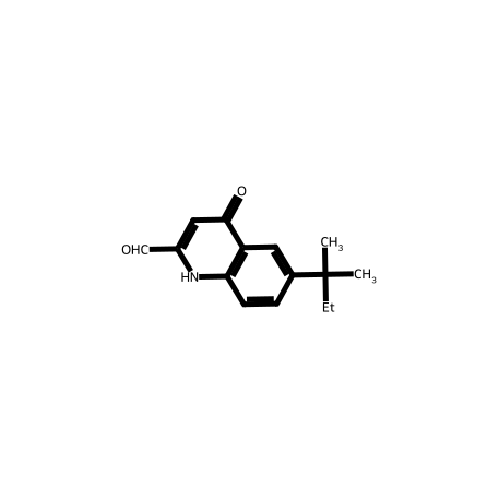 CCC(C)(C)c1ccc2[nH]c(C=O)cc(=O)c2c1